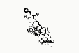 C/C(=C\C[C@H](O)/C(C)=C/c1ccccn1)CCC[C@H](C)[C@H](O[Si](C)(C)C(C)(C)C)[C@@H](C)C(=O)C(C)(C)[C@H](CC(=O)O)O[Si](C)(C)C(C)(C)C